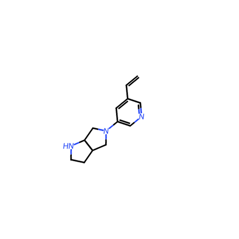 C=Cc1cncc(N2CC3CCNC3C2)c1